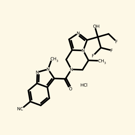 CC1CN(C(=O)c2c3ccc(C#N)cc3nn2C)Cc2cnc(C(O)(CF)C(F)F)n21.Cl